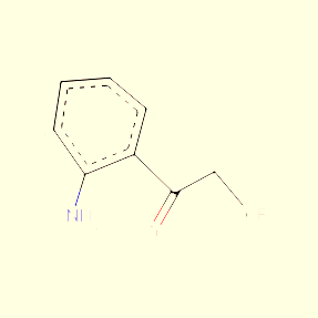 Nc1ccccc1C(=O)CC(F)(F)F